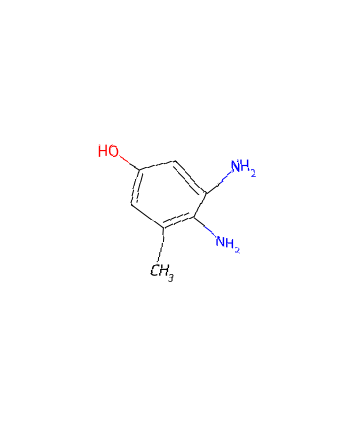 Cc1cc(O)cc(N)c1N